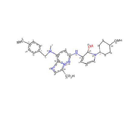 COc1ccc(CN(C)c2cc(NC3=CC=CN(C4CCC(OC)CC4)C3O)nn3c(C(=O)O)cnc23)cc1